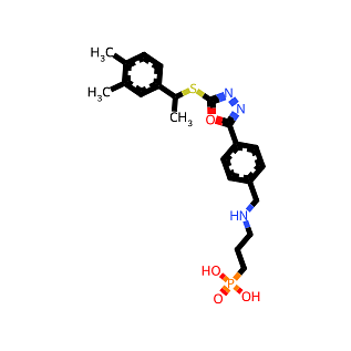 Cc1ccc(C(C)Sc2nnc(-c3ccc(CNCCCP(=O)(O)O)cc3)o2)cc1C